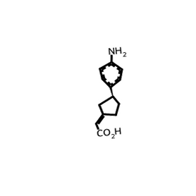 Nc1ccc([C@H]2CC/C(=C\C(=O)O)C2)cc1